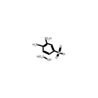 CCS(=O)(=O)c1ccc(N)c(S(=O)(=O)O)c1.O=S(=O)(O)O